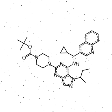 CCC(C)n1ncc2nc(N3CCN(C(=O)OC(C)(C)C)CC3)nc(N[C@@H](c3cnc4ccccc4c3)C3CC3)c21